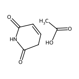 CC(=O)O.O=C1C=CCC(=O)N1